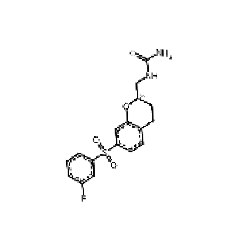 NC(=O)NC[C@H]1CCc2ccc(S(=O)(=O)c3cccc(F)c3)cc2O1